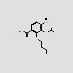 CCCCOc1c(C(=O)OC)ccc([N+](=O)[O-])c1OC(C)C